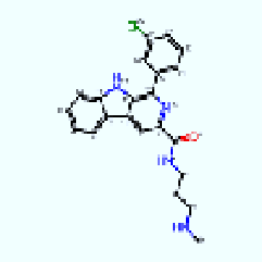 CNCCCNC(=O)c1cc2c([nH]c3ccccc32)c(-c2cccc(Cl)c2)n1